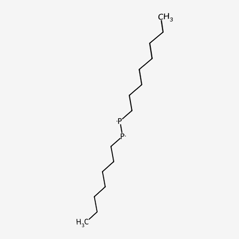 CCCCCCCC[P][P]CCCCCCC